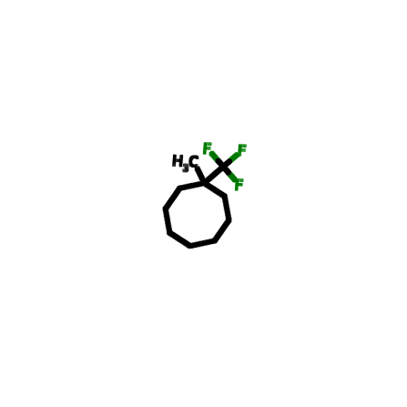 CC1(C(F)(F)F)CCCCCCC1